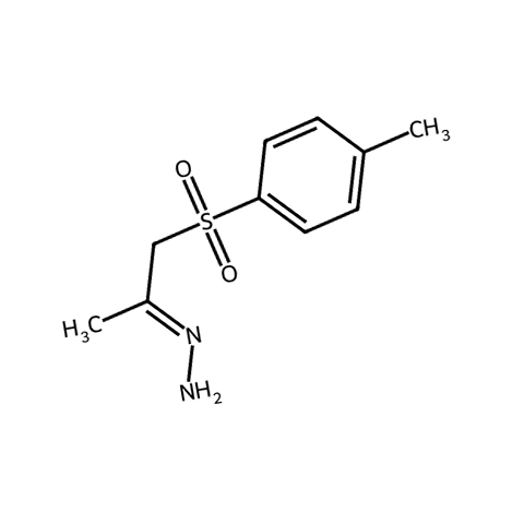 CC(CS(=O)(=O)c1ccc(C)cc1)=NN